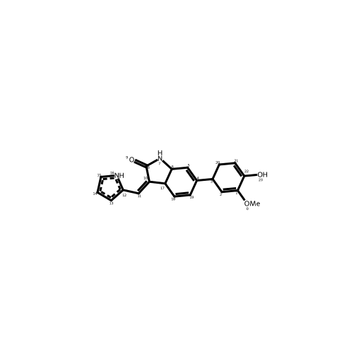 COC1=CC(C2=CC3NC(=O)/C(=C\c4ccc[nH]4)C3C=C2)CC=C1O